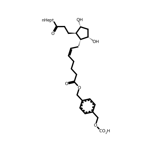 CCCCCCCC(=O)CC[C@@H]1[C@@H](C/C=C\CCCC(=O)OCc2ccc(COC(=O)O)cc2)[C@@H](O)C[C@H]1O